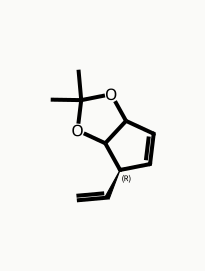 C=C[C@@H]1C=CC2OC(C)(C)OC21